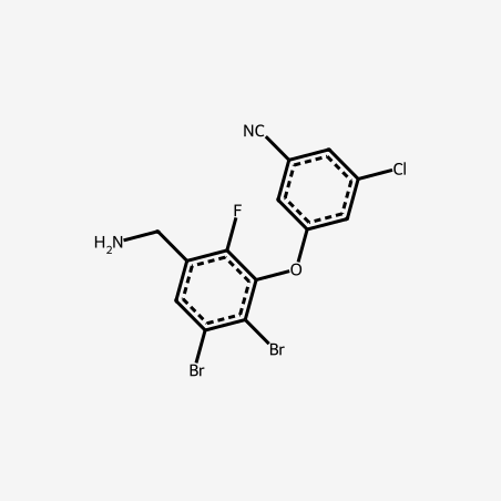 N#Cc1cc(Cl)cc(Oc2c(F)c(CN)cc(Br)c2Br)c1